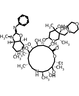 CC[C@H]1OC(=O)[C@H](C)[C@@H](O[C@H]2C[C@@](C)(OC)[C@](O)(CN3CCOCC3)[C@H](C)O2)[C@H](C)[C@@H](O[C@@H]2O[C@H](C)C[C@H]3[C@H]2O/C(=N\c2ccccc2)N3C)[C@](C)(O)C[C@@H](C)CN[C@H](C)[C@@H](O)[C@]1(C)O